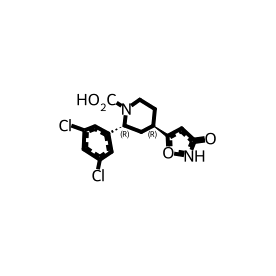 O=C(O)N1CC[C@@H](c2cc(=O)[nH]o2)C[C@@H]1c1cc(Cl)cc(Cl)c1